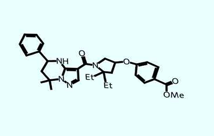 CCC1(CC)CC(Oc2ccc(C(=O)OC)cc2)CN1C(=O)c1cnn2c1NC(c1ccccc1)CC2(C)C